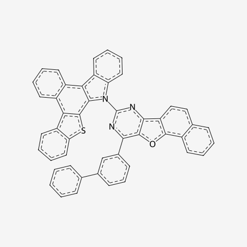 c1ccc(-c2cccc(-c3nc(-n4c5ccccc5c5c6ccccc6c6c7ccccc7sc6c54)nc4c3oc3c5ccccc5ccc43)c2)cc1